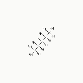 [2H]C([2H])([2H])C([2H])([2H])C([2H])(C)C([2H])([2H])C([2H])([2H])[2H]